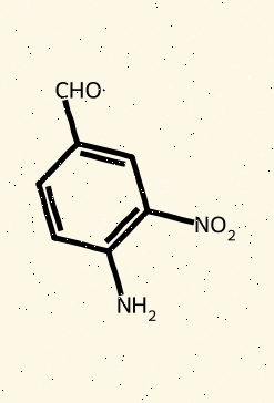 Nc1ccc([C]=O)cc1[N+](=O)[O-]